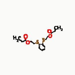 C=CC(=O)OCCSc1ccccc1SCCOC(=O)C=C